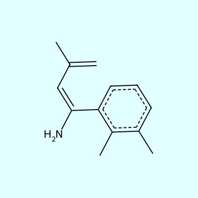 C=C(C)/C=C(/N)c1cccc(C)c1C